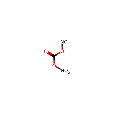 O=C(O[N+](=O)[O-])O[N+](=O)[O-]